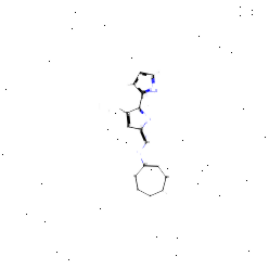 CC1=C/C(=C\NC2CCCCCC2)N=C1c1ccc[nH]1